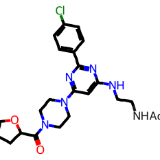 CC(=O)NCCNc1cc(N2CCN(C(=O)C3CCCO3)CC2)nc(-c2ccc(Cl)cc2)n1